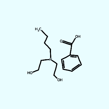 CCCCN(CCO)CCO.O=C(O)c1ccccc1